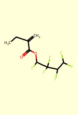 C=C(CC)C(=O)OC(F)C(F)(F)C(F)C(F)F